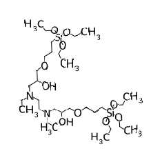 CCO[Si](CCCOCC(O)CN(CC)CCN(CC)CC(O)COCCC[Si](OCC)(OCC)OCC)(OCC)OCC